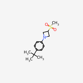 CC(C)(C)c1ccc(N2CC(S(C)(=O)=O)C2)cc1